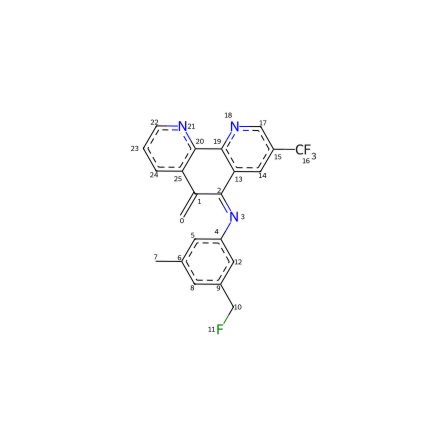 C=C1C(=Nc2cc(C)cc(CF)c2)c2cc(C(F)(F)F)cnc2-c2ncccc21